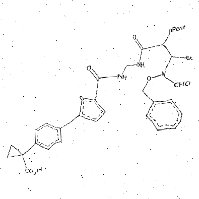 CCCCCC(C(=O)NCNC(=O)c1ccc(-c2ccc(C3(C(=O)O)CC3)cc2)o1)C(CC)N(C=O)OCc1ccccc1